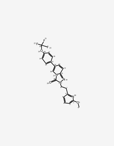 COc1cccc(CCn2nc3ccc(-c4ccc(OC(F)(F)F)cc4)cn3c2=O)n1